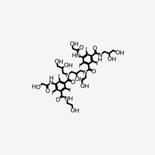 O=C(CO)Nc1c(I)c(C(=O)NCC(O)CO)c(I)c(C(=O)N(CCO)CC(O)CN(CC(O)CO)C(=O)c2c(I)c(NC(=O)CO)c(I)c(C(=O)NCCO)c2I)c1I